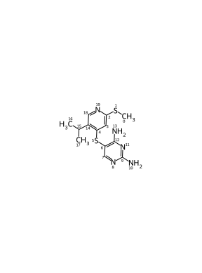 CSc1cc(Sc2cnc(N)nc2N)c(C(C)C)cn1